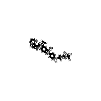 CC(C)Oc1cc2c(cc1NC(=O)c1cnn3cccnc13)CN(C1CCC(N(C)C3CN(C(=O)OC(C)(C)C)C3)CC1)C2=O